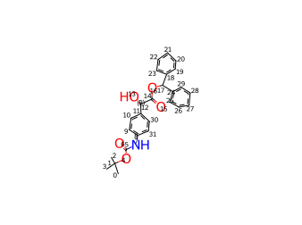 CC(C)(C)OC(=O)Nc1ccc([C@@H](O)C(=O)OC(c2ccccc2)c2ccccc2)cc1